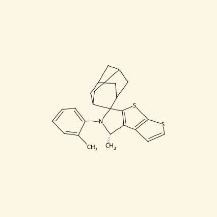 Cc1ccccc1N1[C@@H](C)c2c(sc3sccc23)C12C1CC3CC(C1)CC2C3